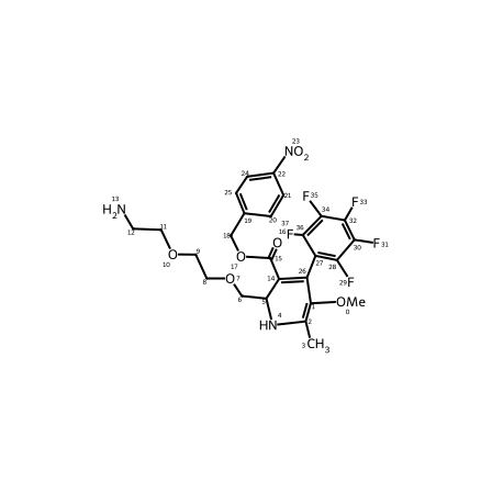 COC1=C(C)NC(COCCOCCN)C(C(=O)OCc2ccc([N+](=O)[O-])cc2)=C1c1c(F)c(F)c(F)c(F)c1F